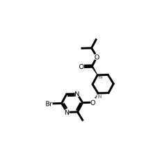 Cc1nc(Br)cnc1O[C@H]1CCC[C@H](C(=O)OC(C)C)C1